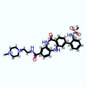 CN1CCN(CCNC(=O)c2ccc3c(c2)NC(=O)c2ccc(-c4ccccc4NS(C)(=O)=O)cc2N3)CC1